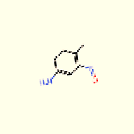 CC1=C(N=O)C=C(N)CC1